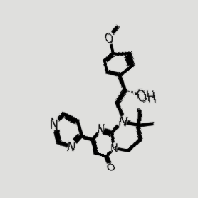 COc1ccc([C@H](O)CN2c3nc(-c4ccncn4)cc(=O)n3CCC2(C)C)cc1